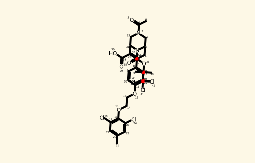 CC(=O)N1CC2CC(c3ccc(OCCOc4c(Cl)cc(C)cc4Cl)cc3)=C(C(=O)O)C(C1)N2C(=O)OC(C)(C)C(Cl)(Cl)Cl